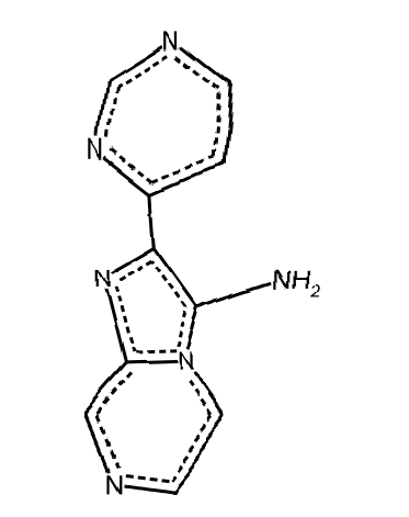 Nc1c(-c2ccncn2)nc2cnccn12